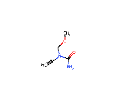 C#CN(COC)C(N)=O